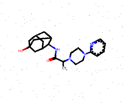 CC(C(=O)NC1C2CC3CC1CC(O)(C3)C2)N1CCN(c2ccccn2)CC1